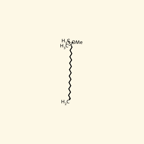 C=CCCCCCCCCCCCCCCCC[Si](C)(C)OC